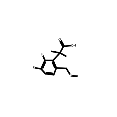 COCc1ccc(F)c(F)c1C(C)(C)C(=O)O